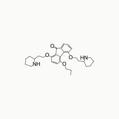 CCCOc1ccc(OCCC2CCCCN2)c2c1-c1c(OCCC3CCCCN3)cccc1C2=O